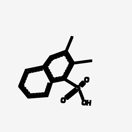 Cc1cc2ccccc2c(S(=O)(=O)O)c1C